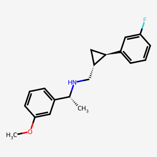 COc1cccc([C@@H](C)NC[C@@H]2C[C@H]2c2cccc(F)c2)c1